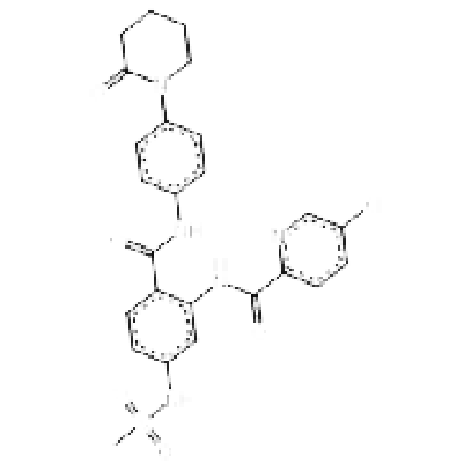 CS(=O)(=O)Nc1ccc(C(=O)Nc2ccc(N3CCCCC3=O)cc2)c(NC(=O)c2ccc(Cl)cn2)c1